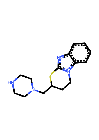 c1ccc2c(c1)nc1n2CCC(CN2CCNCC2)S1